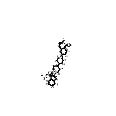 Cn1ccc2cc(N3CCC(C4CCN(C(=O)C(O)(c5ccccc5)C(F)(F)F)CC4)CC3)ccc2c1=O